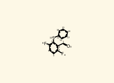 O=Cc1c(F)ccc(F)c1Sc1ccccc1